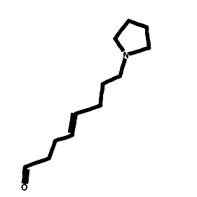 O=CCCC=CCCCN1CCCC1